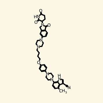 Cc1ccc(N2CCN(c3ccc(OCCCCN4CCN(c5ccc6c(c5)CN(C5CCC(=O)NC5=O)C6=O)CC4)cc3)CC2)c2[nH]cc(C#N)c12